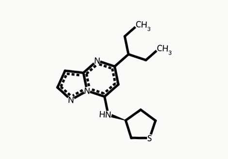 CCC(CC)c1cc(N[C@H]2CCSC2)n2nccc2n1